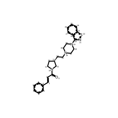 O=C(/C=C/c1ccccc1)N1CC[C@@H](CCN2CCN(c3nsc4ccccc34)CC2)C1